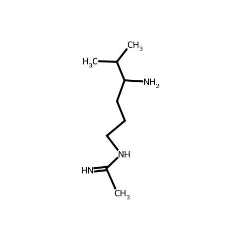 CC(=N)NCCCC(N)C(C)C